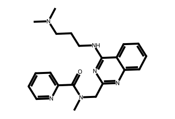 CN(C)CCCNc1nc(CN(C)C(=O)c2ccccn2)nc2ccccc12